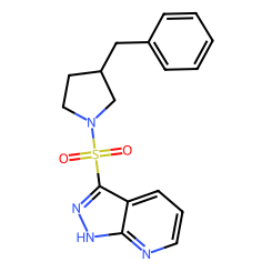 O=S(=O)(c1n[nH]c2ncccc12)N1CCC(Cc2ccccc2)C1